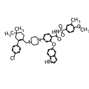 COc1ccc(S(=O)(=O)NC(=O)c2ccc(N3CCN(CC4=C(c5ccc(Cl)cc5)CC(C)(C)CC4)CC3)cc2Oc2ccc3[nH]ccc3c2)cc1C